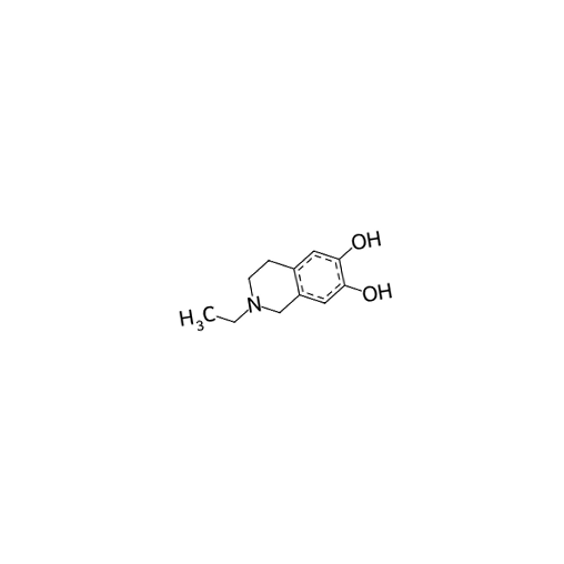 CCN1CCc2cc(O)c(O)cc2C1